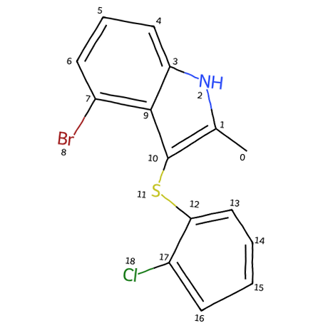 Cc1[nH]c2cccc(Br)c2c1Sc1ccccc1Cl